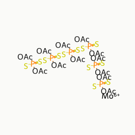 CC(=O)OP(=S)([S-])OC(C)=O.CC(=O)OP(=S)([S-])OC(C)=O.CC(=O)OP(=S)([S-])OC(C)=O.CC(=O)OP(=S)([S-])OC(C)=O.CC(=O)OP(=S)([S-])OC(C)=O.CC(=O)OP(=S)([S-])OC(C)=O.[Mo+6]